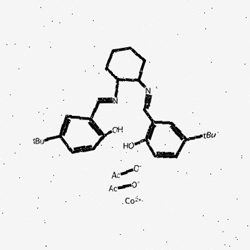 CC(=O)[O-].CC(=O)[O-].CC(C)(C)c1ccc(O)c(C=NC2CCCCC2N=Cc2cc(C(C)(C)C)ccc2O)c1.[Co+2]